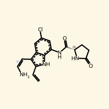 C=Cc1[nH]c2c(NC(=O)[C@@H]3CCC(=O)N3)cc(Cl)cc2c1/C=C\N